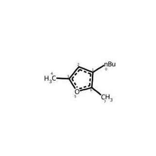 CCCCc1cc(C)oc1C